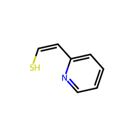 S/C=C\c1ccccn1